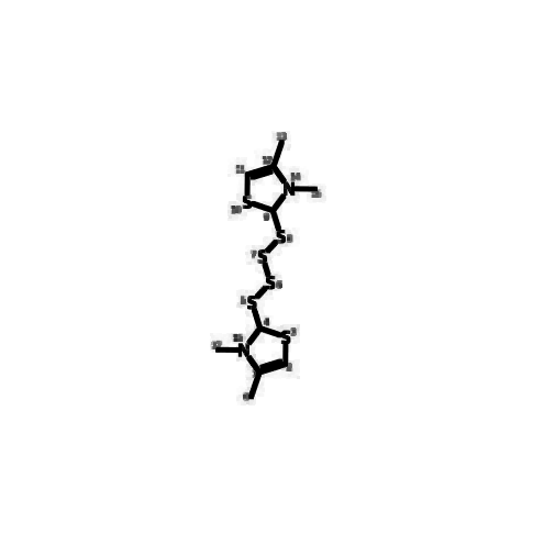 CC1=CSC(SSSSC2SC=C(C)N2C)N1C